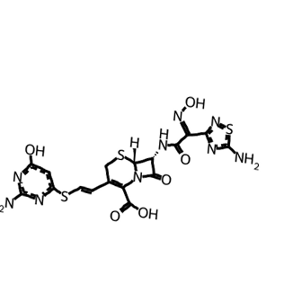 Nc1nc(O)cc(S/C=C/C2=C(C(=O)O)N3C(=O)[C@@H](NC(=O)C(=NO)c4nsc(N)n4)[C@H]3SC2)n1